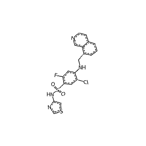 O=S(=O)(Nc1cscn1)c1cc(Cl)c(NCc2cccc3ccncc23)cc1F